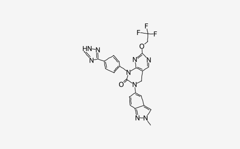 Cn1cc2cc(N3Cc4cnc(OCC(F)(F)F)nc4N(c4ccc(-c5nc[nH]n5)cc4)C3=O)ccc2n1